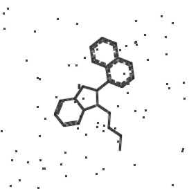 CCCCC1C(c2cccc3ccccc23)[C]C2C=CC=CC21